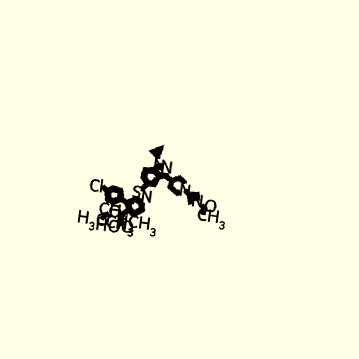 CC(=O)N1CC(N2CCC(c3nn(C4CC4)c4ccc(-c5nc6cc(C)c([C@H](OC(C)(C)C)C(=O)O)c(-c7ccc(Cl)cc7)c6s5)cc34)CC2)C1